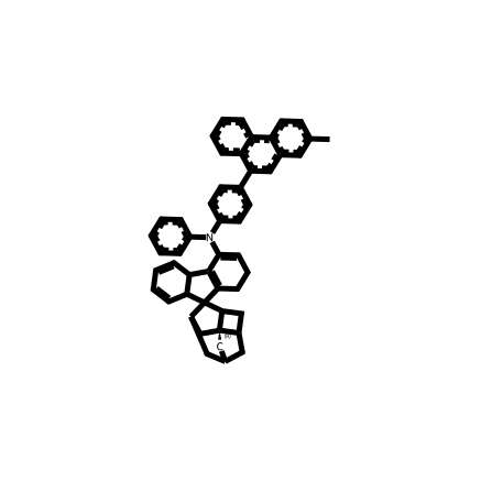 Cc1ccc2c(c1)cc(-c1ccc(N(C3=CCCC4=C3C3C=CC=CC3C43C4CC5CC6CC3[C@]6(C5)C4)c3ccccc3)cc1)c1ccccc12